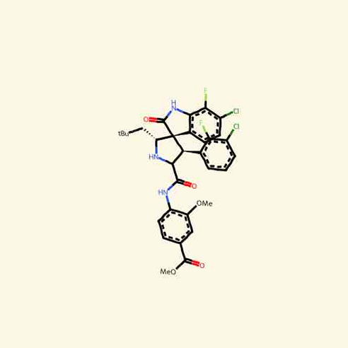 COC(=O)c1ccc(NC(=O)C2N[C@H](CC(C)(C)C)[C@]3(C(=O)Nc4c3ccc(Cl)c4F)[C@H]2c2cccc(Cl)c2F)c(OC)c1